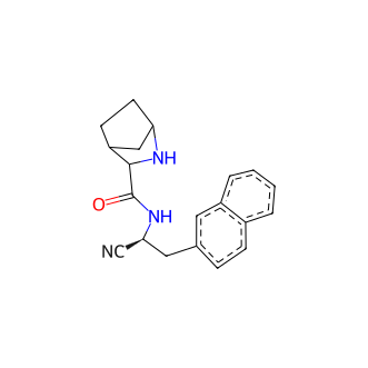 N#C[C@H](Cc1ccc2ccccc2c1)NC(=O)C1NC2CCC1C2